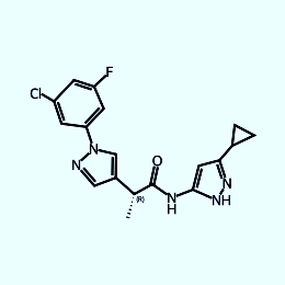 C[C@@H](C(=O)Nc1cc(C2CC2)n[nH]1)c1cnn(-c2cc(F)cc(Cl)c2)c1